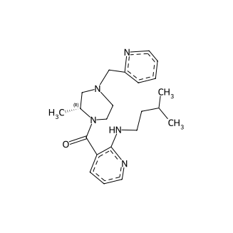 CC(C)CCNc1ncccc1C(=O)N1CCN(Cc2ccccn2)C[C@H]1C